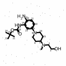 CN(CCO)C1CCN(c2ccc(N)c(NC(=O)OC(C)(C)C)c2)CC1